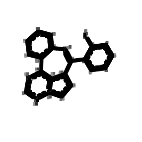 Fc1ccccc1C1=Nc2ccccc2-c2ncnn3ccc1c23